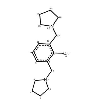 Oc1c(CN2CCCC2)cccc1CN1CCCC1